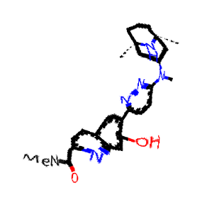 CNC(=O)c1ccc2cc(-c3ccc(N(C)[C@@H]4C[C@]5(C)CCC[C@](C)(C4)N5)nn3)c(O)cc2n1